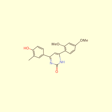 COc1ccc(-c2cc(-c3ccc(O)c(C)c3)nc(=O)[nH]2)c(OC)c1